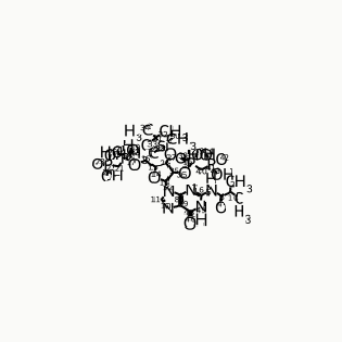 CC(C)C(=O)Nc1nc2c(ncn2C2OC(COP(=O)(O)CP(=O)(O)O)C(O[Si](C)(C)C(C)(C)C)C2OP(=O)(O)CP(=O)(O)O)c(=O)[nH]1